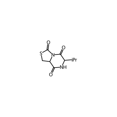 CC(C)C1NC(=O)C2CSC(=O)N2C1=O